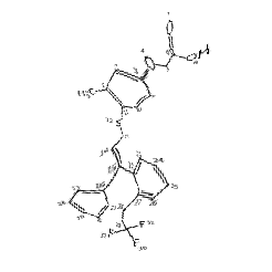 Cc1cc(OCC(=O)O)ccc1SCC=C(c1ccccc1)c1ccccc1CC(F)(F)F